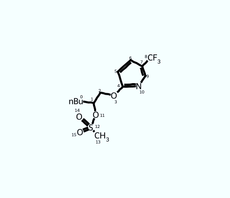 CCCCC(COc1ccc(C(F)(F)F)cn1)OS(C)(=O)=O